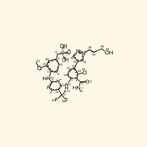 CNC(=O)c1c(Nc2nc(Nc3ccc(CP(=O)(O)O)cc3OC)ncc2C(F)(F)F)ccc(-c2cnn(CCCO)c2)c1Cl